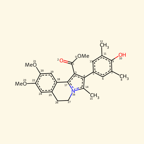 COC(=O)c1c(-c2cc(C)c(O)c(C)c2)c(C)n2c1-c1cc(OC)c(OC)cc1CC2